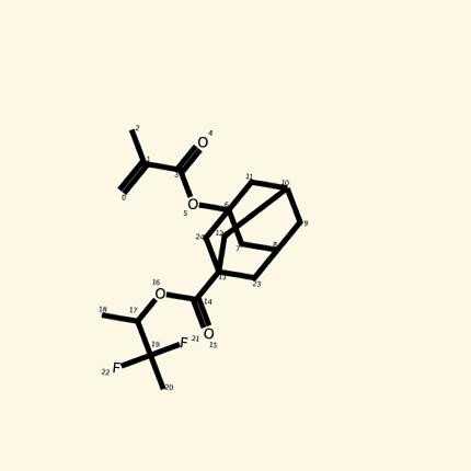 C=C(C)C(=O)OC12CC3CC(C1)CC(C(=O)OC(C)C(C)(F)F)(C3)C2